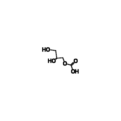 O=C(O)OC[C@@H](O)CO